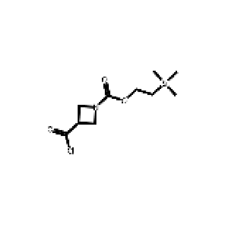 C[Si](C)(C)CCOC(=O)N1CC(C(=O)Cl)C1